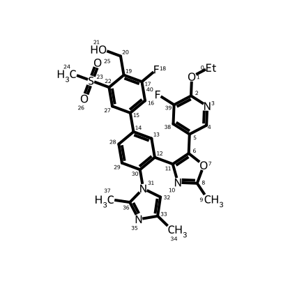 CCOc1ncc(-c2oc(C)nc2-c2cc(-c3cc(F)c(CO)c(S(C)(=O)=O)c3)ccc2-n2cc(C)nc2C)cc1F